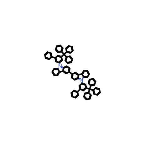 c1ccc(-c2cc(-n3c4ccccc4c4cc(-c5ccc6c(c5)c5ccccc5n6-c5cc(-c6ccccc6)cc(C(c6ccccc6)(c6ccccc6)c6ccccc6)c5)ccc43)cc(C(c3ccccc3)(c3ccccc3)c3ccccc3)c2)cc1